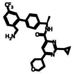 C[C@@H](NC(=O)c1cc(C2CCOCC2)nc(C2CC2)n1)c1ccc(-c2cc(C(F)(F)F)ccc2CN)cc1